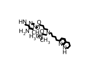 Cc1c(N)c(C=N)nc[n+]1OC(=O)CCCN(CCCCc1ccc2c(n1)NCCC2)CC(=O)N(C)C